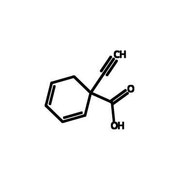 C#CC1(C(=O)O)C=CC=CC1